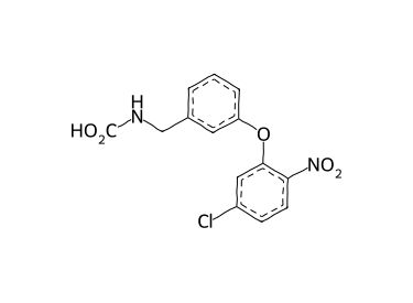 O=C(O)NCc1cccc(Oc2cc(Cl)ccc2[N+](=O)[O-])c1